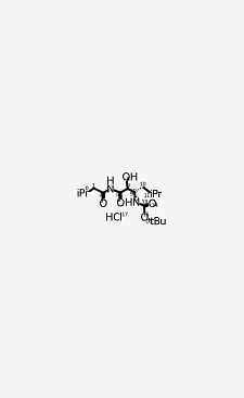 CC(C)CC(=O)NC(=O)C(O)[C@H](CC(C)C)NC(=O)OC(C)(C)C.Cl